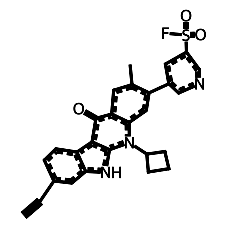 C#Cc1ccc2c(c1)[nH]c1c2c(=O)c2cc(C)c(-c3cncc(S(=O)(=O)F)c3)cc2n1C1CCC1